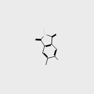 Cc1cc2c(cc1Cl)C(=O)NC2=O